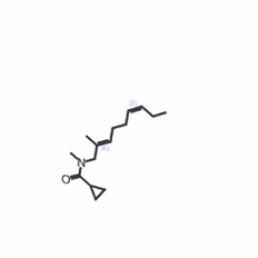 CC/C=C\CC/C=C(\C)CN(C)C(=O)C1CC1